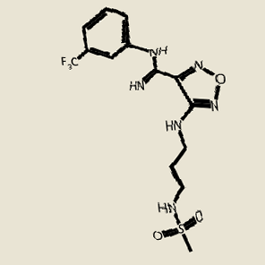 CS(=O)(=O)NCCCNc1nonc1C(=N)Nc1cccc(C(F)(F)F)c1